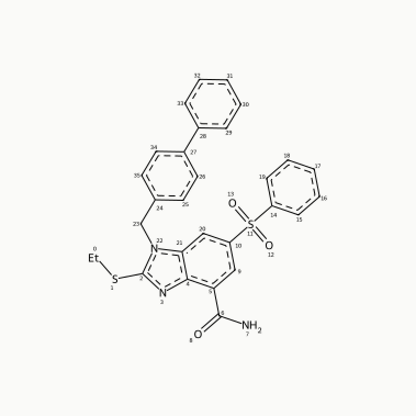 CCSc1nc2c(C(N)=O)cc(S(=O)(=O)c3ccccc3)cc2n1Cc1ccc(-c2ccccc2)cc1